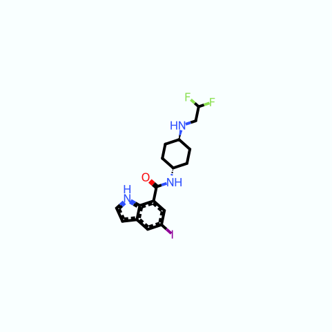 O=C(N[C@H]1CC[C@H](NCC(F)F)CC1)c1cc(I)cc2cc[nH]c12